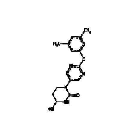 Cc1cc(C)cc(Oc2ncc(N3CCC(O)NC3=O)cn2)c1